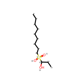 CCCCCCCCCS(=O)(=O)C(O)CC